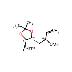 C=C[C@H](C[C@H]1OC(C)(C)O[C@@H]1CCCCCCC)OC